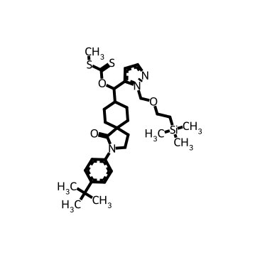 CSC(=S)OC(c1ccnn1COCC[Si](C)(C)C)C1CCC2(CC1)CCN(c1ccc(C(C)(C)C)cc1)C2=O